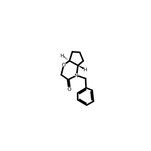 O=C1CO[C@H]2CCC[C@@H]2N1Cc1ccccc1